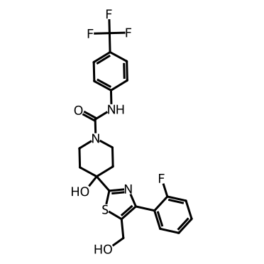 O=C(Nc1ccc(C(F)(F)F)cc1)N1CCC(O)(c2nc(-c3ccccc3F)c(CO)s2)CC1